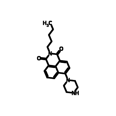 CCCCCN1C(=O)c2cccc3c(N4CCNCC4)ccc(c23)C1=O